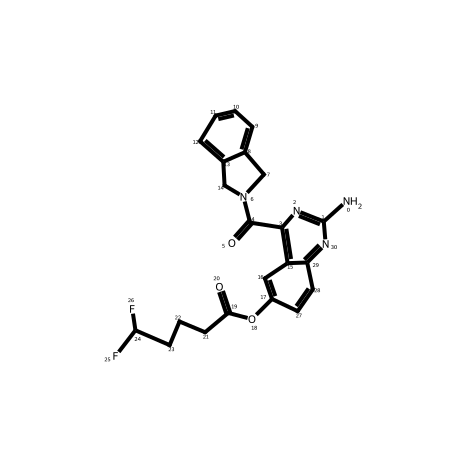 Nc1nc(C(=O)N2Cc3ccccc3C2)c2cc(OC(=O)CCCC(F)F)ccc2n1